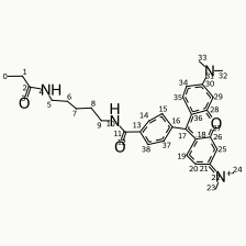 CCC(=O)NCCCCCNC(=O)c1ccc(-c2c3ccc(=[N+](C)C)cc-3oc3cc(N(C)C)ccc23)cc1